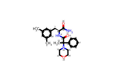 Cc1cc(C)cc(C[C@H](NC(=O)C(C)(c2ccccc2)N2CCOCC2)C(N)=O)c1